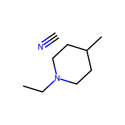 C#N.CCN1CCC(C)CC1